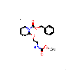 CC(C)(C)OC(=O)NCCOC1CCCCN1C(=O)OCc1ccccc1